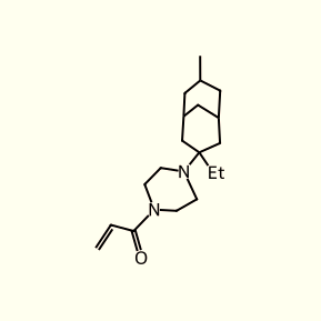 C=CC(=O)N1CCN(C2(CC)CC3CC(C)CC(C3)C2)CC1